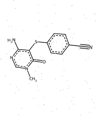 Cn1cnc(N)c(Sc2ccc(C#N)cc2)c1=O